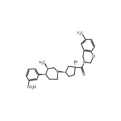 CCOC(=O)c1cccc([C@@H]2CCN([C@@H]3CC[C@@](C(=O)N4COc5ccc(C(F)(F)F)cc5C4)(C(C)C)C3)C[C@@H]2C)c1